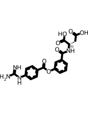 N=C(N)Nc1ccc(C(=O)Oc2cccc(C(=O)N[C@@H](CC(=O)O)C(=O)O)c2)cc1